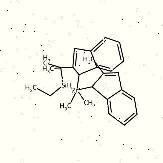 CC[SiH](CC)[Zr]([CH3])([CH3])([CH]1C(C)=Cc2ccccc21)[CH]1C(C)=Cc2ccccc21